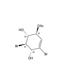 CC(=O)O[C@H]1C=C(Br)[C@H](O)[C@@H](Br)[C@@H]1O